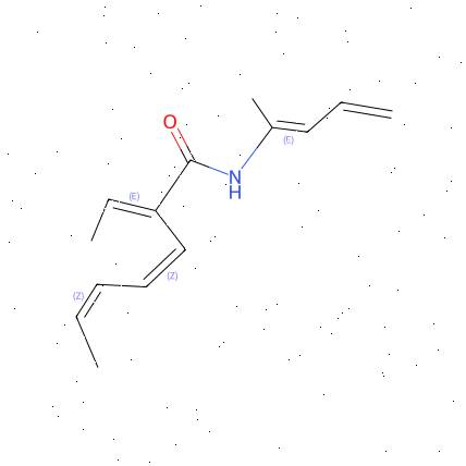 C=C/C=C(\C)NC(=O)C(/C=C\C=C/C)=C/C